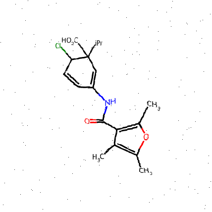 Cc1oc(C)c(C(=O)NC2=CC(C(=O)O)(C(C)C)C(Cl)C=C2)c1C